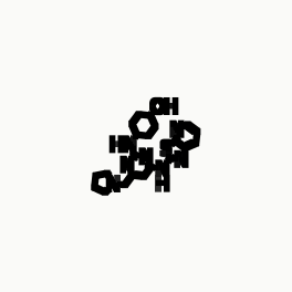 OC1CCC(Nc2nc(CN3CCCC3)cc(Nc3nc4cccnc4s3)n2)CC1